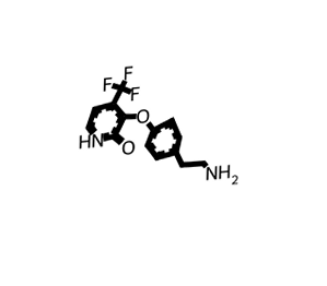 NCCc1ccc(Oc2c(C(F)(F)F)cc[nH]c2=O)cc1